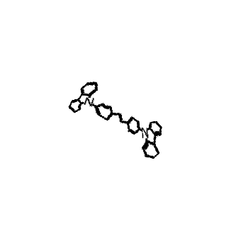 C(=Cc1ccc(-n2c3ccccc3c3ccccc32)cc1)c1ccc(-n2c3ccccc3c3ccccc32)cc1